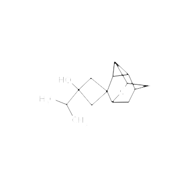 CC(C)C1(O)CC2(C1)C1CC3CC(C1)C1C3C12